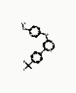 COc1ccc(Nc2cc(-c3ccc(C(F)(F)F)cc3)ncn2)cn1